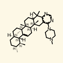 C[C@@H]1[C@H]2C3=CC[C@@H]4[C@@]5(C)Cc6c(N7CCN(C)CC7)ncnc6C(C)(C)[C@@H]5CC[C@@]4(C)[C@]3(C)CC[C@@H]2CC[C@H]1C